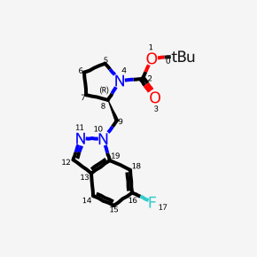 CC(C)(C)OC(=O)N1CCC[C@@H]1Cn1ncc2ccc(F)cc21